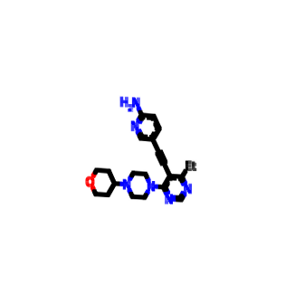 CCc1ncnc(N2CCN(C3CCOCC3)CC2)c1C#Cc1ccc(N)nc1